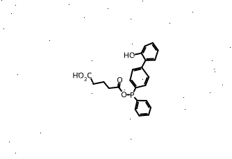 O=C(O)CCCC(=O)OP(c1ccccc1)c1ccc(-c2ccccc2O)cc1